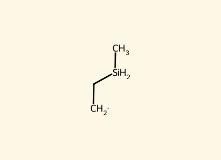 [CH2]C[SiH2]C